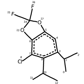 CC(C)c1cc2c(c(Cl)c1C(C)C)OC(F)(F)O2